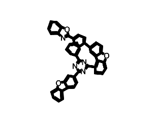 c1ccc(-c2nc(-c3ccc4c(c3)oc3ccccc34)nc(-c3cccc4oc5ccc(-c6ccc(-c7nc8ccccc8o7)cc6)cc5c34)n2)cc1